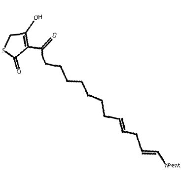 CCCCCC=CCC=CCCCCCCCC(=O)C1=C(O)CSC1=O